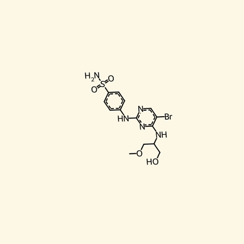 COCC(CO)Nc1nc(Nc2ccc(S(N)(=O)=O)cc2)ncc1Br